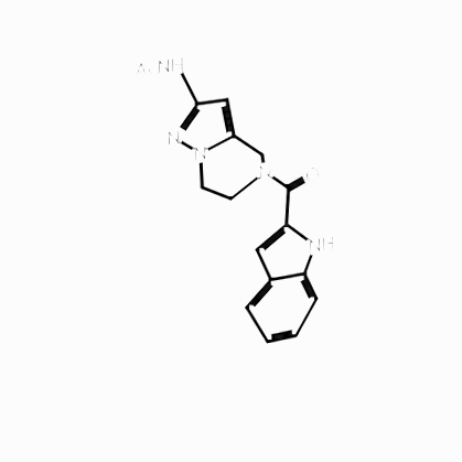 CC(=O)Nc1cc2n(n1)CCN(C(=O)c1cc3ccccc3[nH]1)C2